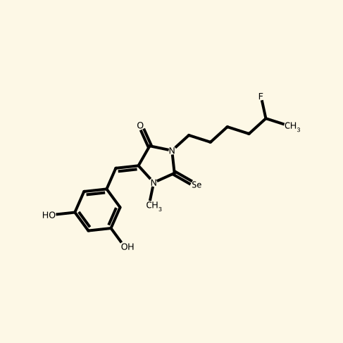 CC(F)CCCCN1C(=O)C(=Cc2cc(O)cc(O)c2)N(C)C1=[Se]